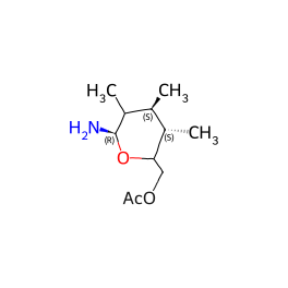 CC(=O)OCC1O[C@@H](N)C(C)[C@@H](C)[C@@H]1C